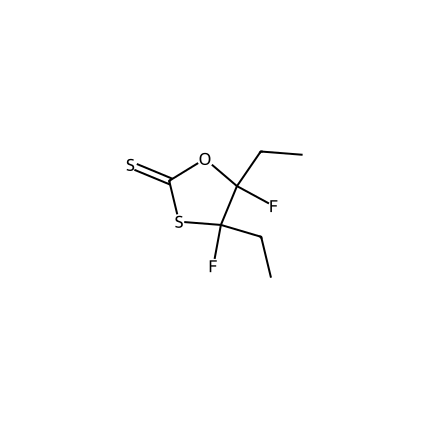 CCC1(F)OC(=S)SC1(F)CC